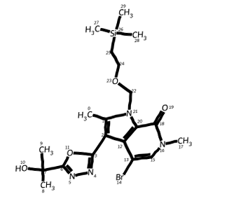 Cc1c(-c2nnc(C(C)(C)O)o2)c2c(Br)cn(C)c(=O)c2n1COCC[Si](C)(C)C